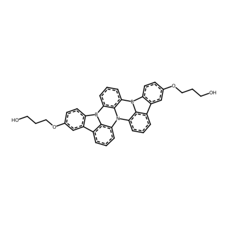 OCCCOc1ccc2c(c1)-c1cccc3c1B2c1cccc2c1N3c1cccc3c1B2c1ccc(OCCCO)cc1-3